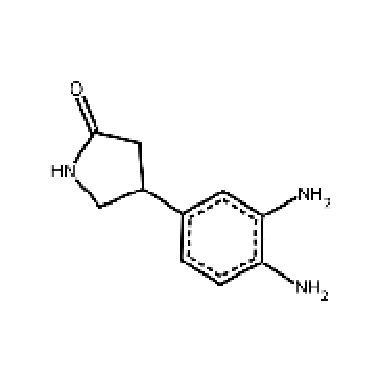 Nc1ccc(C2CNC(=O)C2)cc1N